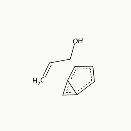 C=CCO.c1cc2cc-2c1